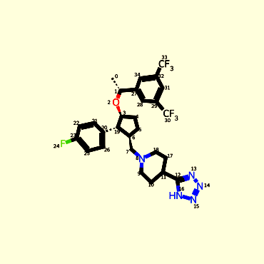 C[C@@H](O[C@H]1CC[C@@H](CN2CCC(c3nnn[nH]3)CC2)[C@@H]1c1ccc(F)cc1)c1cc(C(F)(F)F)cc(C(F)(F)F)c1